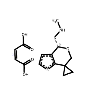 CNC[C@@H]1OCC2(CC2)c2sccc21.O=C(O)/C=C\C(=O)O